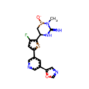 CN1C(=N)NC(c2sc(-c3cncc(-c4cnco4)c3)cc2F)C[S+]1[O-]